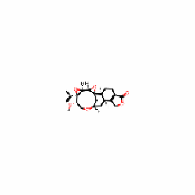 C=C(C)[C@]12O[C@H]1[C@@H]1O[C@]13C[C@H](C[C@H]1C4=C(CC[C@@]13C)C(=O)OC4)OC[C@@H]2OC